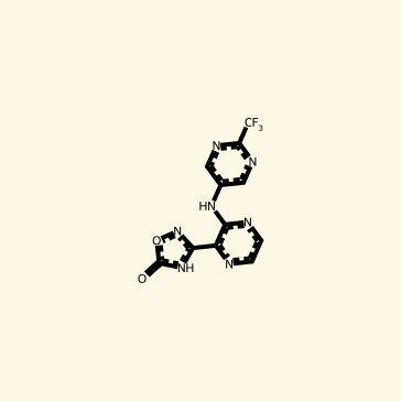 O=c1[nH]c(-c2nccnc2Nc2cnc(C(F)(F)F)nc2)no1